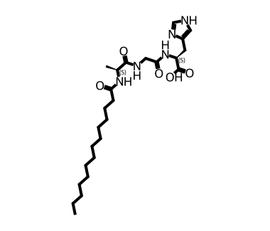 CCCCCCCCCCCCCC(=O)N[C@@H](C)C(=O)NCC(=O)N[C@@H](Cc1c[nH]cn1)C(=O)O